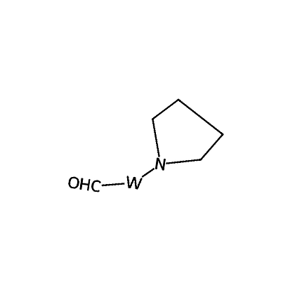 O=[CH][W][N]1CCCC1